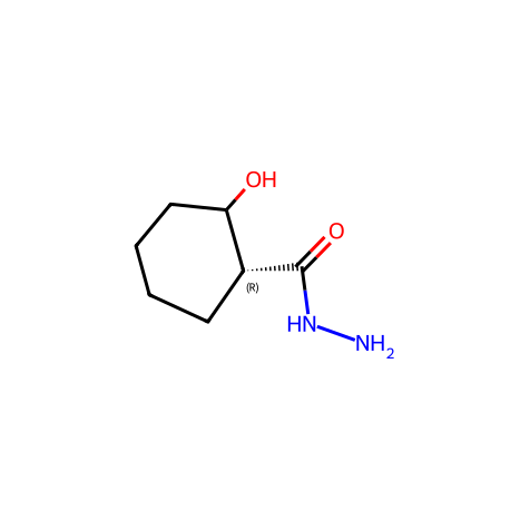 NNC(=O)[C@@H]1CCCCC1O